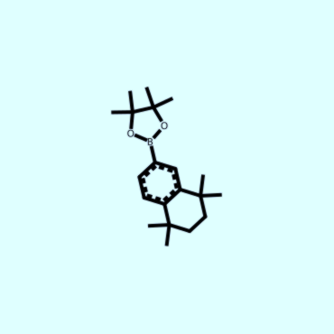 CC1(C)CCC(C)(C)c2cc(B3OC(C)(C)C(C)(C)O3)ccc21